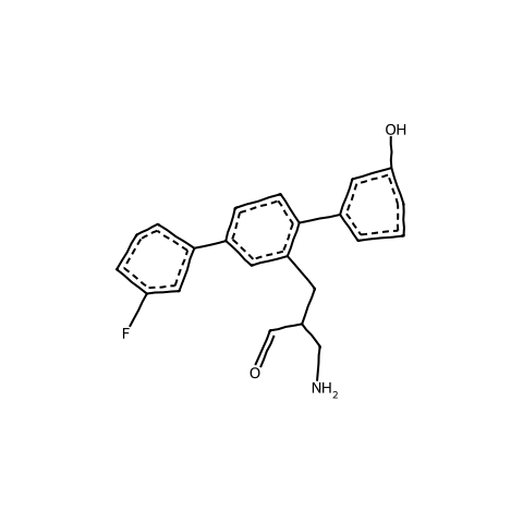 NCC(C=O)Cc1cc(-c2cccc(F)c2)ccc1-c1cccc(O)c1